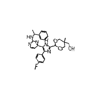 CC(Nc1nccc(-c2[nH]c(C3OCC(C)(CO)CO3)nc2-c2ccc(F)cc2)n1)c1ccccc1